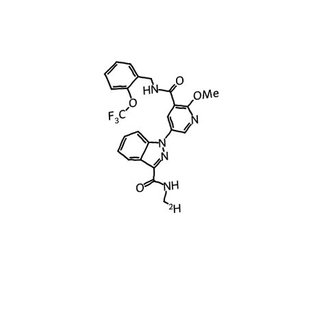 [2H]CNC(=O)c1nn(-c2cnc(OC)c(C(=O)NCc3ccccc3OC(F)(F)F)c2)c2ccccc12